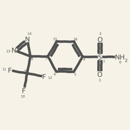 NS(=O)(=O)c1ccc(C2(C(F)(F)F)N=N2)cc1